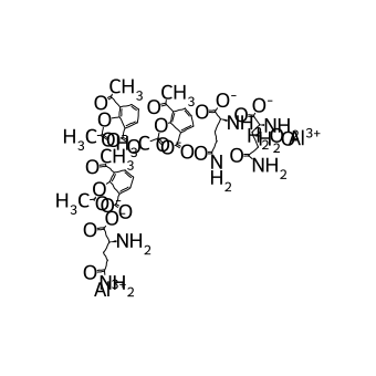 CC(=O)Oc1c(C(C)=O)cccc1C(=O)[O-].CC(=O)Oc1c(C(C)=O)cccc1C(=O)[O-].CC(=O)Oc1c(C(C)=O)cccc1C(=O)[O-].NC(=O)CC[C@H](N)C(=O)[O-].NC(=O)CC[C@H](N)C(=O)[O-].NC(=O)CC[C@H](N)C(=O)[O-].O.O.[Al+3].[Al+3]